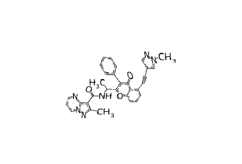 Cc1nn2cccnc2c1C(=O)NC(C)c1oc2cccc(C#Cc3cnn(C)c3)c2c(=O)c1-c1ccccc1